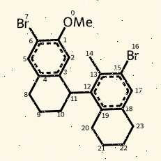 COc1cc2c(cc1Br)CCCC2c1c(C)c(Br)cc2c1CCCC2